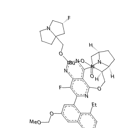 CCc1cccc2cc(OCOC)cc(-c3nc4c5c(nc(OCC67CCCN6C[C@H](F)C7)nc5c3F)N3C[C@H]5CC[C@@H]([C@H]3CO4)N5C(=O)OC(C)(C)C)c12